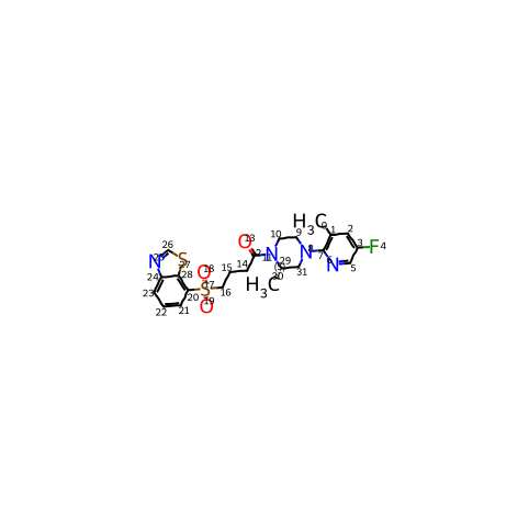 Cc1cc(F)cnc1N1CCN(C(=O)CCCS(=O)(=O)c2cccc3ncsc23)[C@@H](C)C1